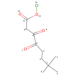 CC(C)(C)CCC(=O)C(=O)CC(=O)OCl